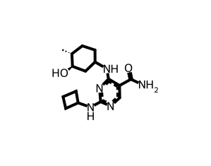 C[C@@H]1CCC(Nc2nc(NC3CCC3)ncc2C(N)=O)C[C@H]1O